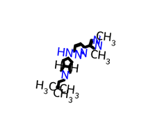 Cc1nn(C)cc1-c1ccc(N[C@@H]2C[C@@H]3CN(CCC(C)(C)C)C[C@@H]3C2)nn1